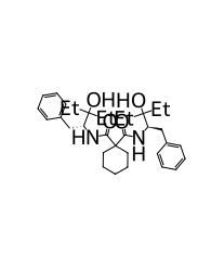 CCC(O)(CC)[C@@H](Cc1ccccc1)NC(=O)C1(C(=O)N[C@H](Cc2ccccc2)C(O)(CC)CC)CCCCC1